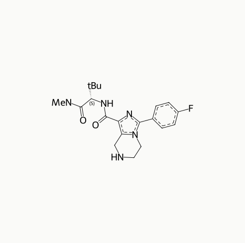 CNC(=O)[C@@H](NC(=O)c1nc(-c2ccc(F)cc2)n2c1CNCC2)C(C)(C)C